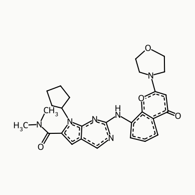 CN(C)C(=O)c1cc2cnc(Nc3cccc4c(=O)cc(N5CCOCC5)oc34)nc2n1C1CCCC1